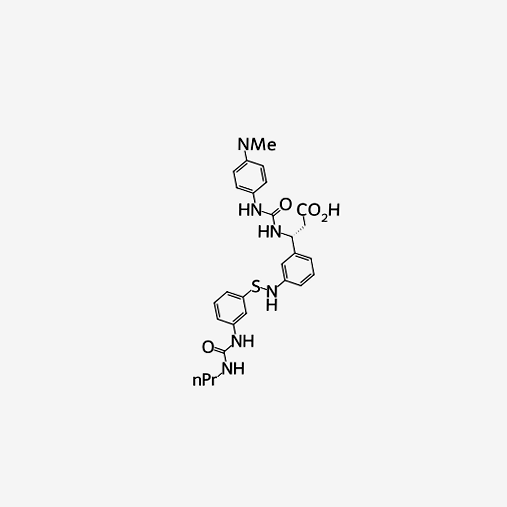 CCCNC(=O)Nc1cccc(SNc2cccc([C@@H](CC(=O)O)NC(=O)Nc3ccc(NC)cc3)c2)c1